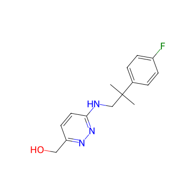 CC(C)(CNc1ccc(CO)nn1)c1ccc(F)cc1